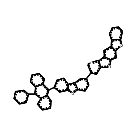 c1ccc(-c2c3ccccc3c(-c3ccc4c(c3)oc3ccc(-c5ccc6c(c5)oc5cc7oc8ccccc8c7cc56)cc34)c3ccccc23)cc1